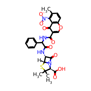 Cc1ccc2occ(C(=O)NC(C(=O)N[C@@H]3C(=O)N4[C@@H]3SC(C)(C)[C@@H]4C(=O)O)c3ccccc3)c(=O)c2c1[N+](=O)[O-]